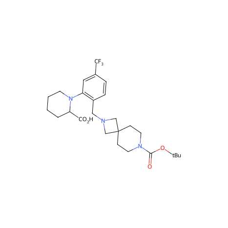 CC(C)(C)OC(=O)N1CCC2(CC1)CN(Cc1ccc(C(F)(F)F)cc1N1CCCCC1C(=O)O)C2